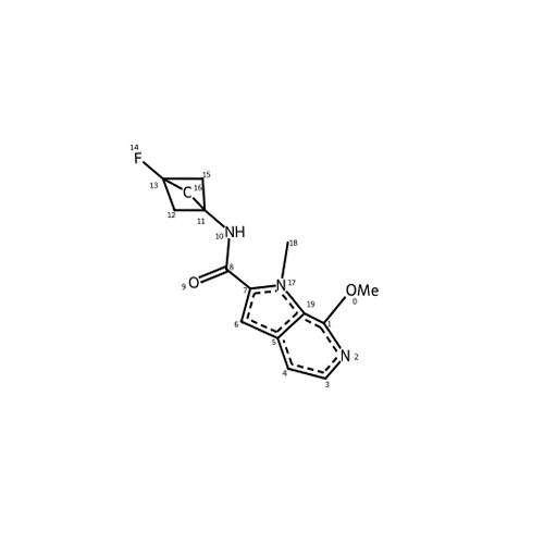 COc1nccc2cc(C(=O)NC34CC(F)(C3)C4)n(C)c12